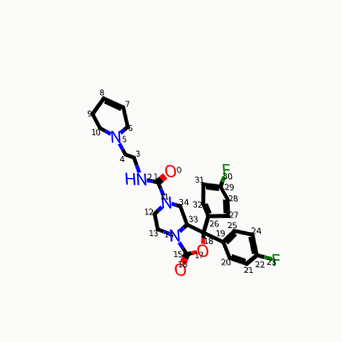 O=C(NCCN1CC=CCC1)N1CCN2C(=O)OC(c3ccc(F)cc3)(c3ccc(F)cc3)C2C1